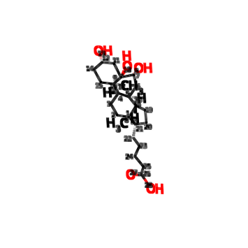 C[C@]12CC[C@H]3[C@@H](C[C@@H](O)[C@@]4(O)C[C@@H](O)CC[C@]34C)[C@@H]1CC[C@@H]2CCCCC(=O)O